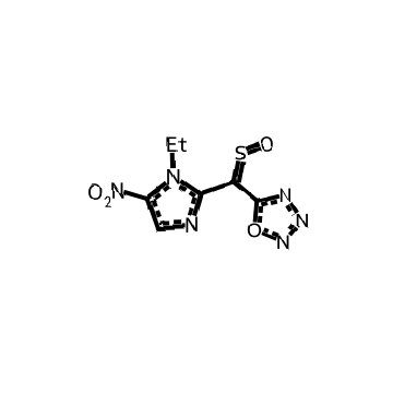 CCn1c([N+](=O)[O-])cnc1C(=S=O)c1nnno1